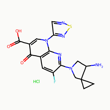 Cl.NC1CN(c2nc3c(cc2F)c(=O)c(C(=O)O)cn3-c2cnsn2)CC12CC2